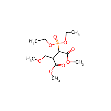 CCOP(=O)(OCC)C(C(=O)OC)C(COC)C(=O)OC